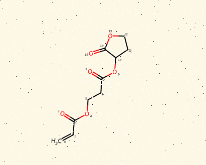 C=CC(=O)OCCC(=O)OC1CCOC1=O